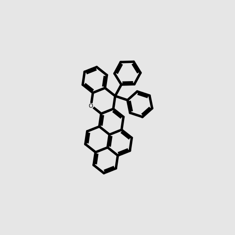 c1ccc(C2(c3ccccc3)c3ccccc3Oc3c2cc2ccc4cccc5ccc3c2c45)cc1